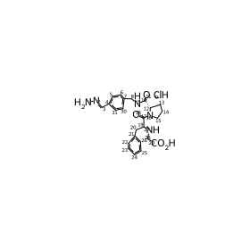 Cl.NN=Cc1ccc(CNC(=O)[C@@H]2CCCN2C(=O)C(Cc2ccccc2)NCC(=O)O)cc1